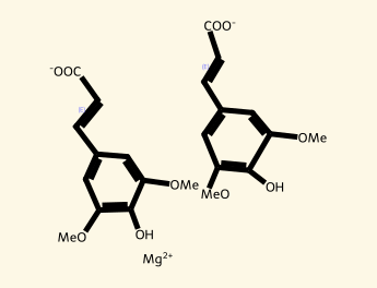 COc1cc(/C=C/C(=O)[O-])cc(OC)c1O.COc1cc(/C=C/C(=O)[O-])cc(OC)c1O.[Mg+2]